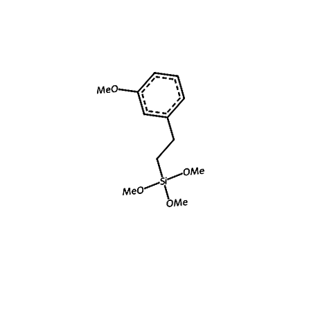 COc1cccc(CC[Si](OC)(OC)OC)c1